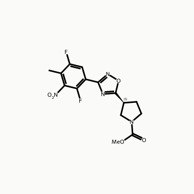 COC(=O)N1CC[C@H](c2nc(-c3cc(F)c(C)c([N+](=O)[O-])c3F)no2)C1